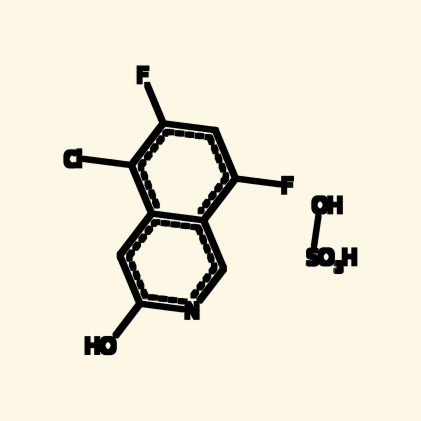 O=S(=O)(O)O.Oc1cc2c(Cl)c(F)cc(F)c2cn1